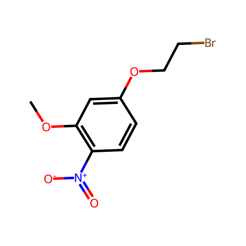 COc1cc(OCCBr)ccc1[N+](=O)[O-]